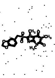 Cn1c(=O)c2c(nc(S(=O)(=O)Cc3ccc4c(c3)OCO4)n2C)n(C)c1=O